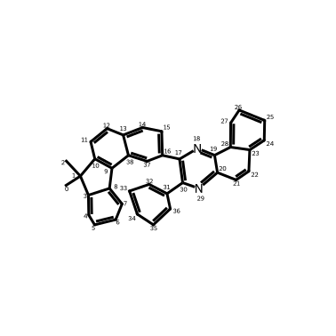 CC1(C)c2ccccc2-c2c1ccc1ccc(-c3nc4c(ccc5ccccc54)nc3-c3ccccc3)cc21